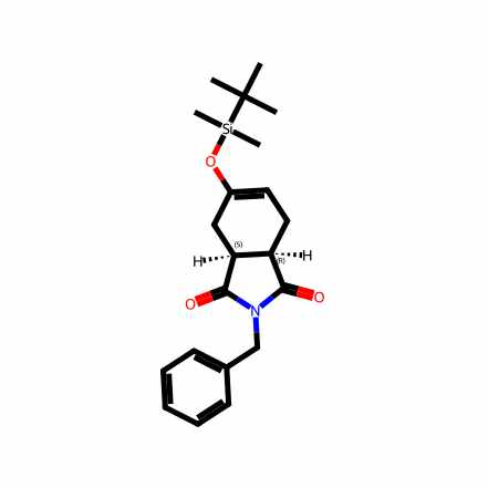 CC(C)(C)[Si](C)(C)OC1=CC[C@H]2C(=O)N(Cc3ccccc3)C(=O)[C@H]2C1